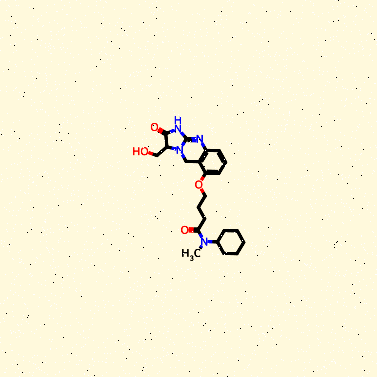 CN(C(=O)CCCOc1cccc2c1CN1C(=N2)NC(=O)C1CO)C1CCCCC1